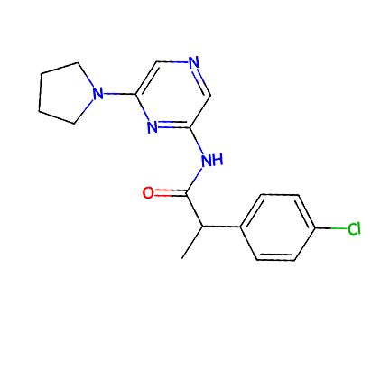 CC(C(=O)Nc1cncc(N2CCCC2)n1)c1ccc(Cl)cc1